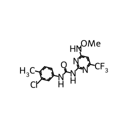 CONc1cc(C(F)(F)F)nc(NC(=O)Nc2ccc(C)c(Cl)c2)n1